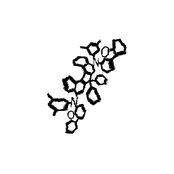 Cc1cc(C)cc(N(c2cc3c(c4ccccc24)-c2c(cc(N(c4cc(C)cc(C)c4)c4cccc5c4oc4ccccc45)c4ccccc24)C3(c2ccccc2)c2ccccc2)c2cccc3c2oc2ccccc23)c1